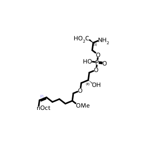 CCCCCCCC/C=C\CCCC(COC[C@@H](O)COP(=O)(O)OC[C@H](N)C(=O)O)OC